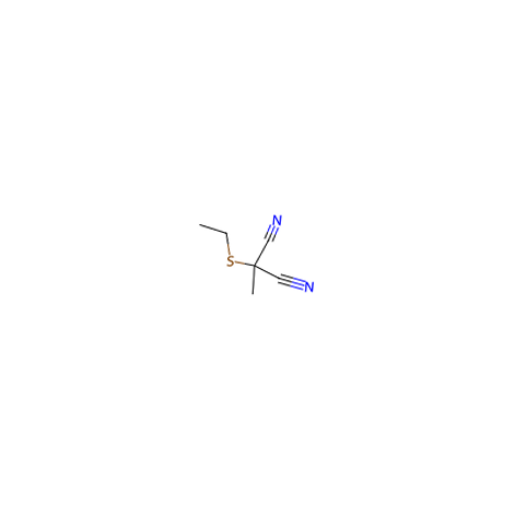 CCSC(C)(C#N)C#N